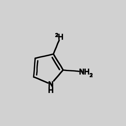 [2H]c1cc[nH]c1N